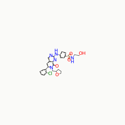 O=c1c2nc(Nc3ccc(S(=O)(=O)NCCO)cc3)ncc2cc(-c2ccccc2Cl)n1CC1CCCO1